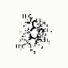 C[Si](C)(C)[CH]([GeH2][CH]([Si](C)(C)C)[Si](C)(C)C)[Si](C)(C)C